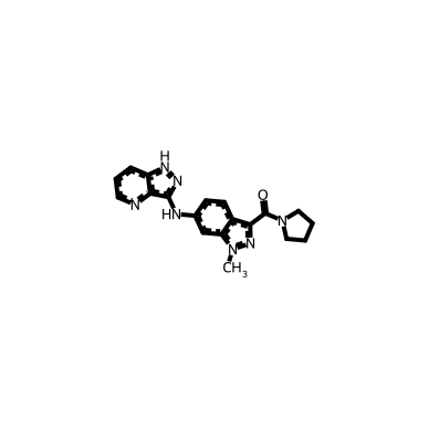 Cn1nc(C(=O)N2CCCC2)c2ccc(Nc3n[nH]c4cccnc34)cc21